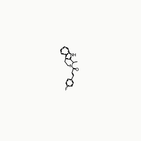 CC1c2[nH]c3ccccc3c2CCN1C(=O)/C=C/c1ccc(F)cc1